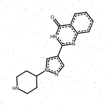 O=c1[nH]c(-c2cnn(C3CCNCC3)c2)nc2ccccc12